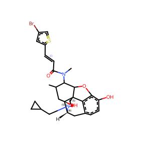 CC1C[C@@]2(O)[C@H]3Cc4ccc(O)c5c4[C@@]2(CCN3CC2CC2)C(O5)C1N(C)C(=O)/C=C/c1cc(Br)cs1